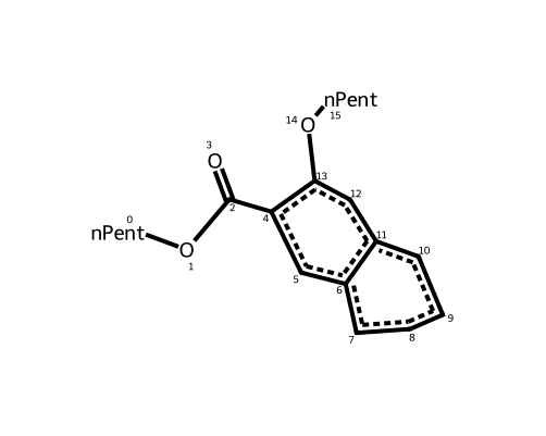 CCCCCOC(=O)c1cc2ccccc2cc1OCCCCC